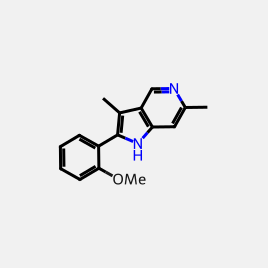 COc1ccccc1-c1[nH]c2cc(C)ncc2c1C